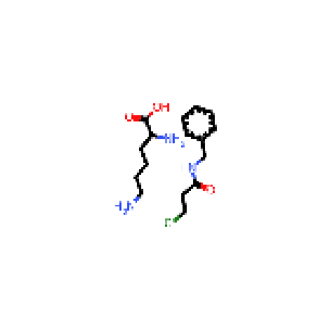 NCCCCC(N)C(=O)O.O=C(CCCl)NCc1ccccc1